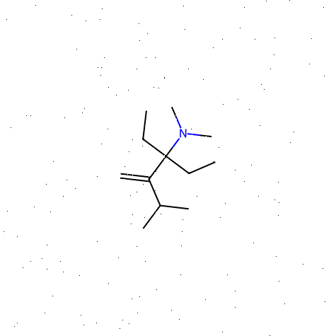 C=C(C(C)C)C(CC)(CC)N(C)C